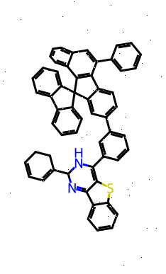 C1=CCCC(C2N=c3c(sc4ccccc34)=C(c3cccc(-c4ccc5c(c4)C4(c6ccccc6-c6ccccc64)c4c-5c(-c5ccccc5)cc5ccccc45)c3)N2)=C1